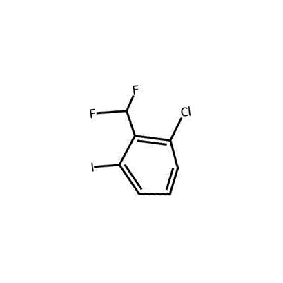 FC(F)c1c(Cl)cccc1I